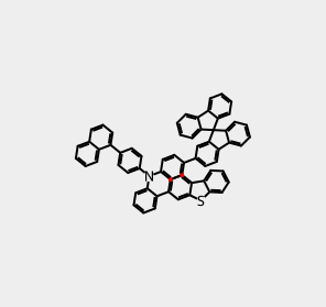 c1ccc(N(c2ccc(-c3ccc4c(c3)C3(c5ccccc5-c5ccccc53)c3ccccc3-4)cc2)c2ccc(-c3cccc4ccccc34)cc2)c(-c2ccc3c(c2)sc2ccccc23)c1